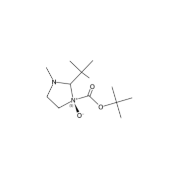 CN1CC[N@@+]([O-])(C(=O)OC(C)(C)C)C1C(C)(C)C